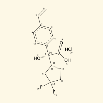 C=Cc1ccc([C@@](O)(C(=O)O)[C@@H]2CCC(F)(F)C2)cc1.Cl